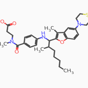 CCCCCC(C)C(Nc1ccc(C(=O)N(C)CCC(=O)O)cc1)c1oc2ccc(N3CCSCC3)cc2c1C